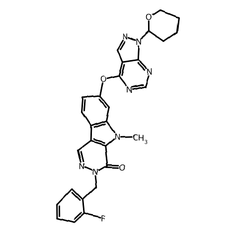 Cn1c2cc(Oc3ncnc4c3cnn4C3CCCCO3)ccc2c2cnn(Cc3ccccc3F)c(=O)c21